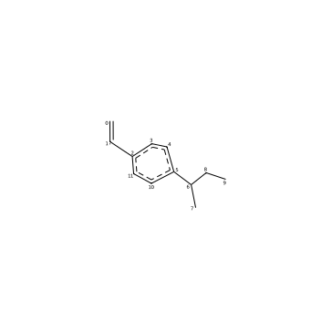 C=[C]c1ccc(C(C)CC)cc1